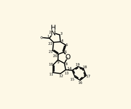 CC1NCC2C=C3OC4C(C=CCC4c4ccccc4)C3=CC21